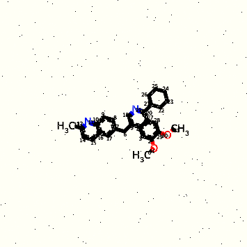 COc1cc2c(Cc3ccc4nc(C)ccc4c3)cnc(C3CCCCC3)c2cc1OC